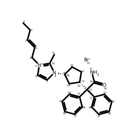 CCC=CC[n+]1ccn([C@@H]2CC[C@H](C(C(N)=O)(c3ccccc3)c3ccccc3)C2)c1C.[Br-]